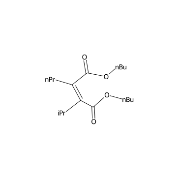 CCCCOC(=O)C(CCC)=C(C(=O)OCCCC)C(C)C